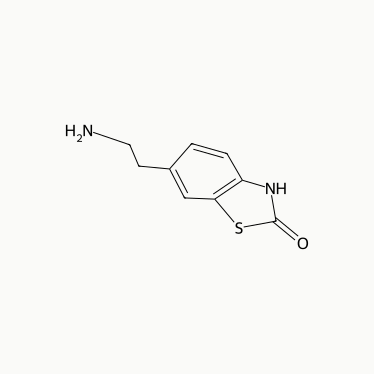 NCCc1ccc2[nH]c(=O)sc2c1